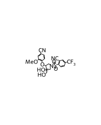 COc1cc(C#N)ccc1OC1CN(S(=O)(=O)c2ccc(C(F)(F)F)cc2C#N)C[C@@]1(O)CO